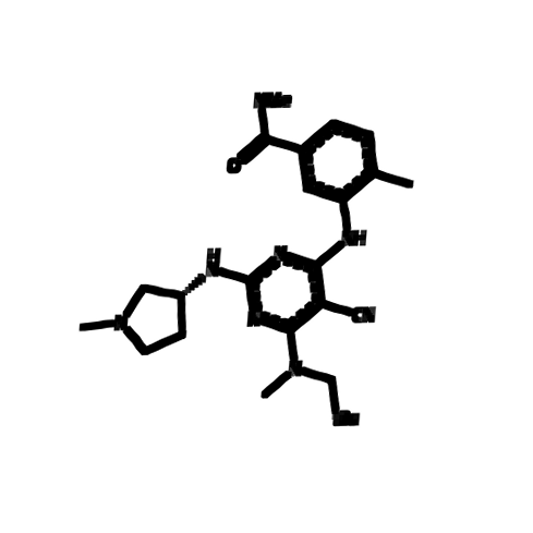 CNC(=O)c1ccc(C)c(Nc2nc(N[C@@H]3CCN(C)C3)nc(N(C)CC(C)(C)C)c2C#N)c1